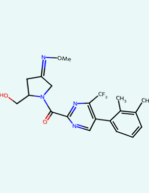 CO/N=C1/CC(CO)N(C(=O)c2ncc(-c3cccc(C)c3C)c(C(F)(F)F)n2)C1